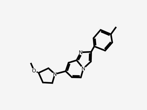 CO[C@H]1CCN(c2ccn3cc(-c4ccc(C)cc4)nc3c2)C1